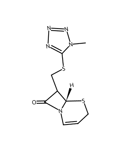 Cn1nnnc1SCC1C(=O)N2C=CCS[C@@H]12